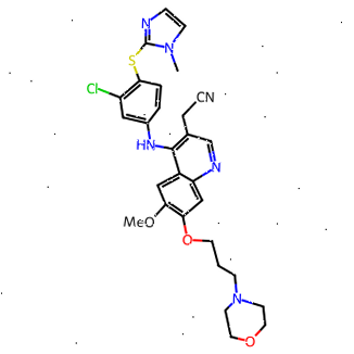 COc1cc2c(Nc3ccc(Sc4nccn4C)c(Cl)c3)c(CC#N)cnc2cc1OCCCN1CCOCC1